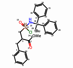 COC(=O)C(Cc1ccccc1)C[SH](=O)(Cl)N[Si](c1ccccc1)(c1ccccc1)C(C)(C)C